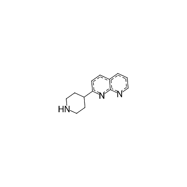 c1cnc2nc(C3CCNCC3)ccc2c1